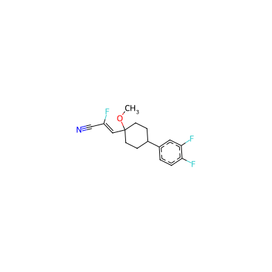 COC1(C=C(F)C#N)CCC(c2ccc(F)c(F)c2)CC1